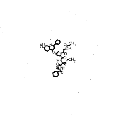 C=C[C@@H]1C[C@]1(NC(=O)[C@@H]1C[C@@H](Oc2cc(-c3ccccc3)nc3cc(OC)ccc23)CN1C(=O)CNC(=O)CC)C(=O)NS(=O)(=O)c1ccccc1